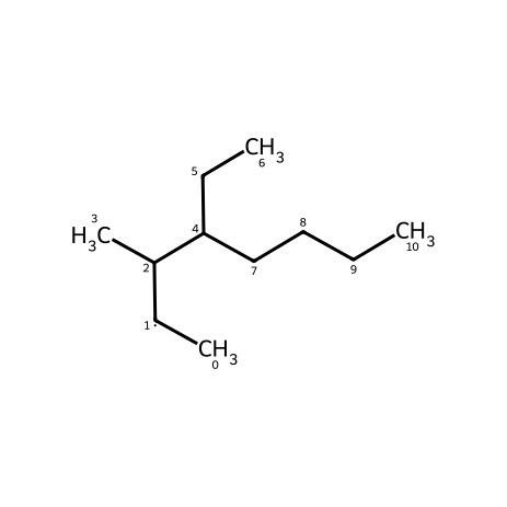 C[CH]C(C)C(CC)CCCC